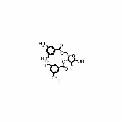 Cc1cc(C)cc(C(=O)OC[C@H]2OC(O)[C@@H](F)[C@@H]2OC(=O)c2cc(C)cc(C)c2)c1